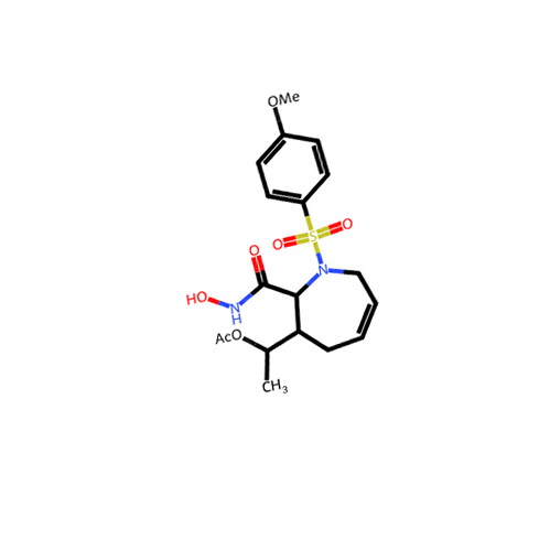 COc1ccc(S(=O)(=O)N2CC=CCC(C(C)OC(C)=O)C2C(=O)NO)cc1